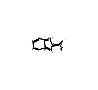 FC(F)=C1N=c2ccccc2=N1